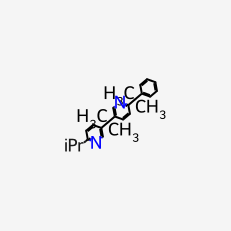 CC(C)c1ccc(C(C)(C)c2ccc(C(C)(C)c3ccccc3)nc2)cn1